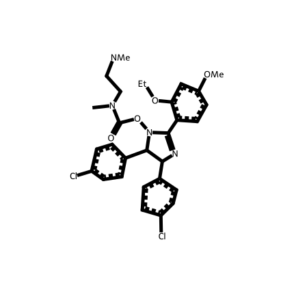 CCOc1cc(OC)ccc1C1=NC(c2ccc(Cl)cc2)C(c2ccc(Cl)cc2)N1OC(=O)N(C)CCNC